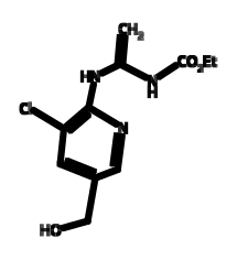 C=C(NC(=O)OCC)Nc1ncc(CO)cc1Cl